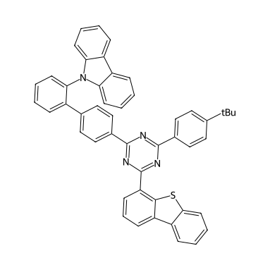 CC(C)(C)c1ccc(-c2nc(-c3ccc(-c4ccccc4-n4c5ccccc5c5ccccc54)cc3)nc(-c3cccc4c3sc3ccccc34)n2)cc1